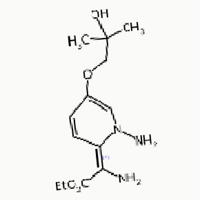 CCOC(=O)/C(N)=C1\C=CC(OCC(C)(C)O)=CN1N